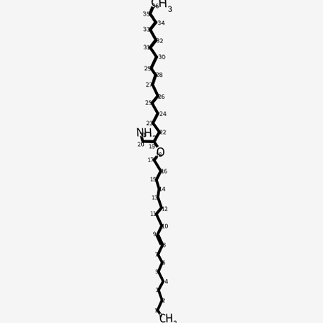 CCCCCCCCC=CCCCCCCCCOC(CN)CCCCCCCCCCCCCCC